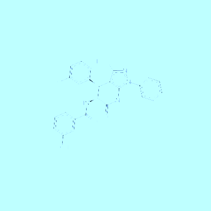 Cc1cccc(C(=O)N[C@@H]2C(=O)Nc3c(c(C)nn3-c3ccccc3)[C@@H]2c2cccc(C)c2)c1